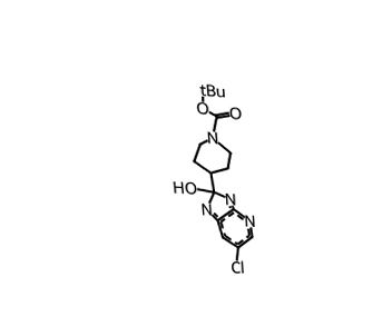 CC(C)(C)OC(=O)N1CCC(C2(O)N=c3cc(Cl)cnc3=N2)CC1